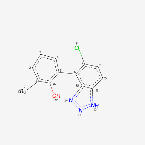 CC(C)(C)c1cccc(-c2c(Cl)ccc3[nH]nnc23)c1O